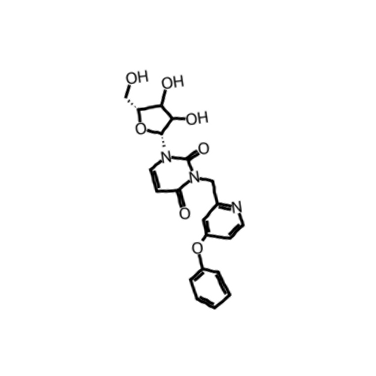 O=c1ccn([C@@H]2O[C@H](CO)C(O)C2O)c(=O)n1Cc1cc(Oc2ccccc2)ccn1